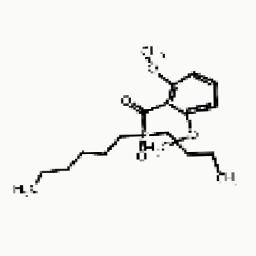 CCCCCCP(=O)(CCCC)C(=O)c1c(OC)cccc1OC